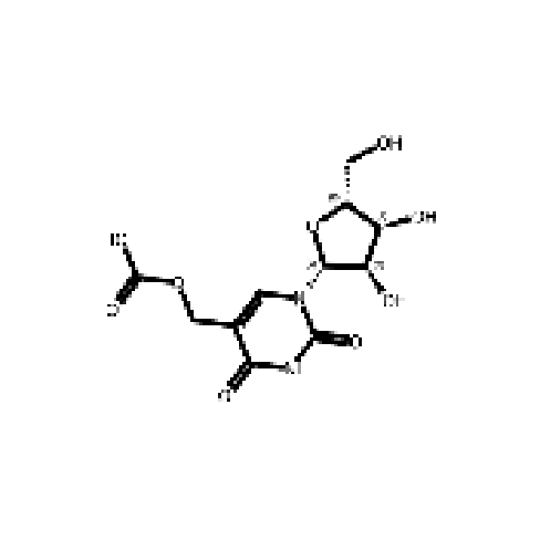 O=C(O)OCc1cn([C@@H]2O[C@H](CO)[C@@H](O)[C@H]2O)c(=O)[nH]c1=O